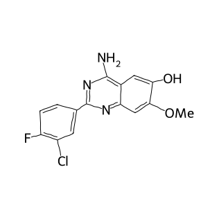 COc1cc2nc(-c3ccc(F)c(Cl)c3)nc(N)c2cc1O